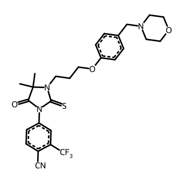 CC1(C)C(=O)N(c2ccc(C#N)c(C(F)(F)F)c2)C(=S)N1CCCOc1ccc(CN2CCOCC2)cc1